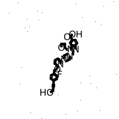 O=C(O)c1ccc2nc(CN3CCN(c4cccc(OCc5ccc(C#CCO)cc5F)n4)CC3)n(CC3CCO3)c2c1